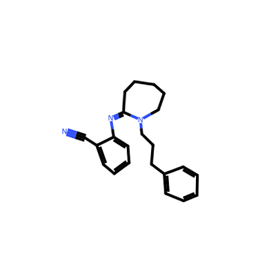 N#Cc1ccccc1/N=C1/CCCCCN1CCCc1ccccc1